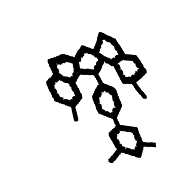 Cc1cc(C)cc(-c2ccc(-c3c4c(ccc5ccc(C)cc54)cc4ccc5ccc(C)cc5c34)cc2)c1